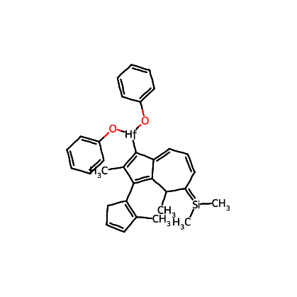 CC1=C(C2=C3C(=CC=CC(=[Si](C)C)C3C)[C]([Hf]([O]c3ccccc3)[O]c3ccccc3)=C2C)CC=C1